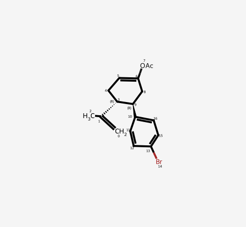 C=C(C)[C@@H]1CC=C(OC(C)=O)C[C@H]1c1ccc(Br)cc1